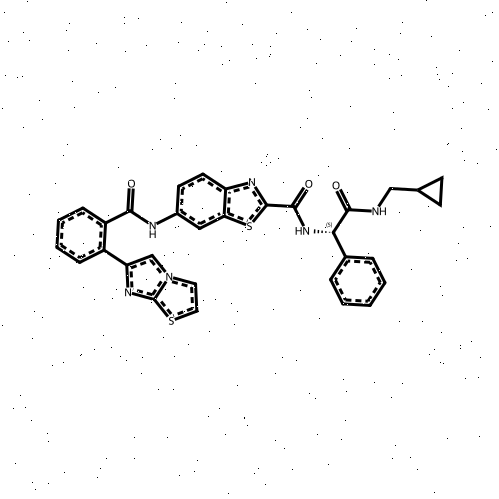 O=C(N[C@H](C(=O)NCC1CC1)c1ccccc1)c1nc2ccc(NC(=O)c3ccccc3-c3cn4ccsc4n3)cc2s1